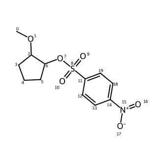 COC1CCCC1OS(=O)(=O)c1ccc([N+](=O)[O-])cc1